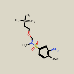 COc1ccc(S(=O)(=O)N(C)COCC[Si](C)(C)C)cc1N